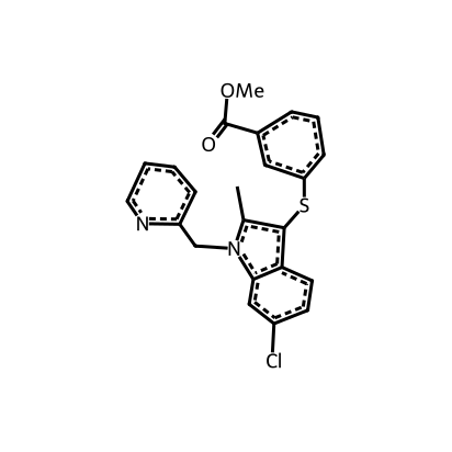 COC(=O)c1cccc(Sc2c(C)n(Cc3ccccn3)c3cc(Cl)ccc23)c1